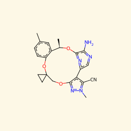 Cc1ccc2c(c1)[C@@H](C)Oc1nc(cnc1N)-c1c(nn(C)c1C#N)OCC1(CC1)O2